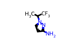 CC(n1ccc(N)n1)C(F)(F)F